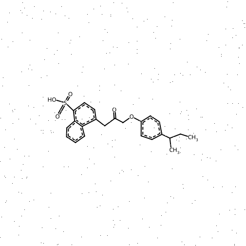 CCC(C)c1ccc(OCC(=O)Cc2ccc(S(=O)(=O)O)c3ccccc23)cc1